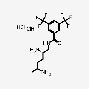 CC(N)CC[C@H](N)CNC(=O)c1cc(C(F)(F)F)cc(C(F)(F)F)c1.Cl.Cl